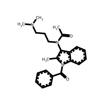 CC(=O)N(CCCN(C)C)c1c(C)n(C(=O)c2ccccc2)c2ccccc12